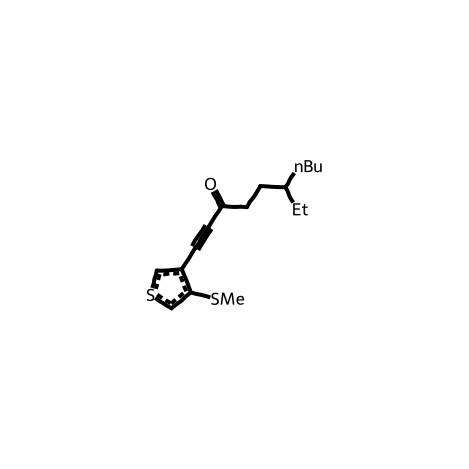 CCCCC(CC)CCC(=O)C#Cc1cscc1SC